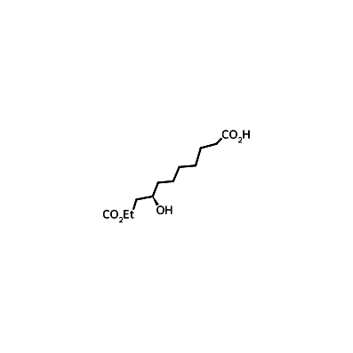 CCOC(=O)C[C@H](O)CCCCCCC(=O)O